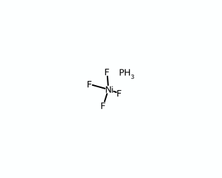 P.[F][Ni]([F])([F])[F]